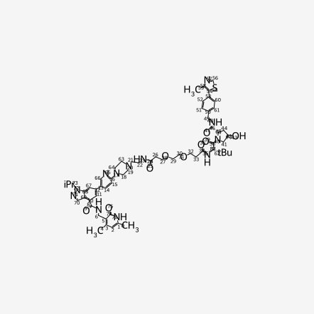 Cc1cc(C)c(CNC(=O)c2cc(-c3ccc(N4CCN(CCNC(=O)CCOCCOCCC(=O)N[C@H](C(=O)N5C[C@H](O)C[C@H]5C(=O)NCc5ccc(-c6scnc6C)cc5)C(C)(C)C)CC4)nc3)cc3c2cnn3C(C)C)c(=O)[nH]1